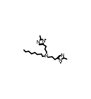 CCCCCCCCN(CCCc1cnc(C)n1C)CCCc1cnc(C)n1C